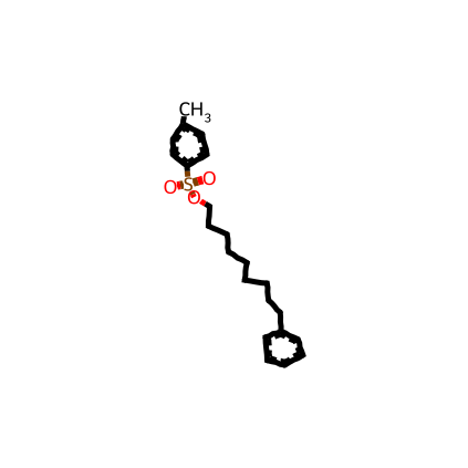 Cc1ccc(S(=O)(=O)OCCCCCCCCCc2ccccc2)cc1